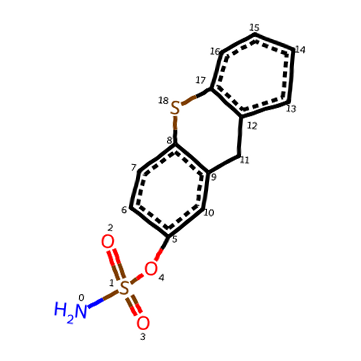 NS(=O)(=O)Oc1ccc2c(c1)Cc1ccccc1S2